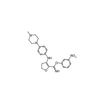 CN1CCN(c2ccc(NC3=C(C(=N)Oc4cccc([N+](=O)[O-])c4)OCC3)cc2)CC1